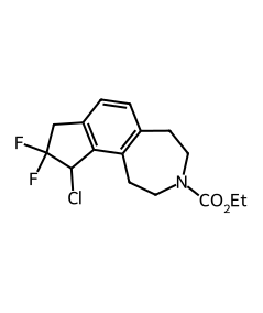 CCOC(=O)N1CCc2ccc3c(c2CC1)C(Cl)C(F)(F)C3